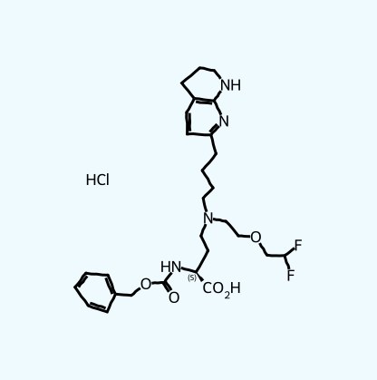 Cl.O=C(N[C@@H](CCN(CCCCc1ccc2c(n1)NCCC2)CCOCC(F)F)C(=O)O)OCc1ccccc1